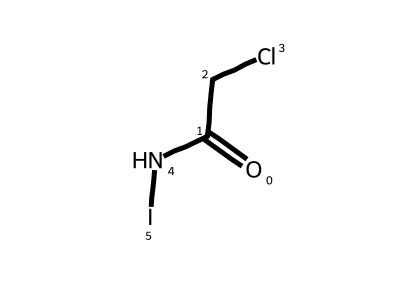 O=C(CCl)NI